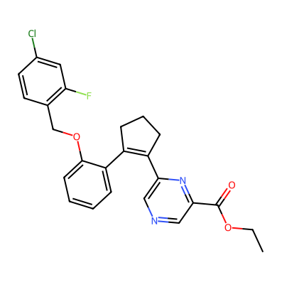 CCOC(=O)c1cncc(C2=C(c3ccccc3OCc3ccc(Cl)cc3F)CCC2)n1